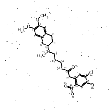 COc1cc2c(cc1OC)CC(N(C)CCCNC(=O)Cc1cc(Cl)c(Cl)cc1[N+](=O)[O-])CC2